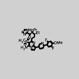 CCCN(C(=O)c1nnc[nH]1)[C@H](CC)CCc1nc2c(-c3ccc(-c4cc(F)c(OC)cc4F)nc3)ccn2c(N)c1S(C)(=O)=O